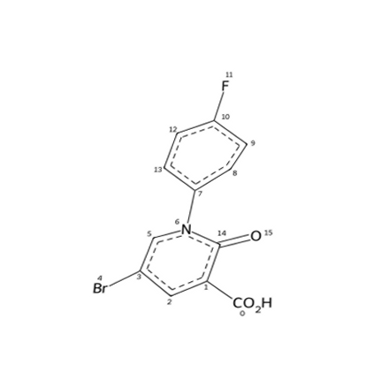 O=C(O)c1cc(Br)cn(-c2ccc(F)cc2)c1=O